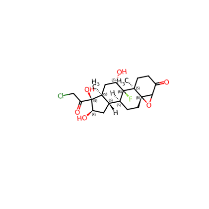 C[C@]12CCC(=O)C3O[C@@]31CC[C@H]1[C@@H]3C[C@@H](O)[C@](O)(C(=O)CCl)[C@@]3(C)C[C@H](O)[C@@]12F